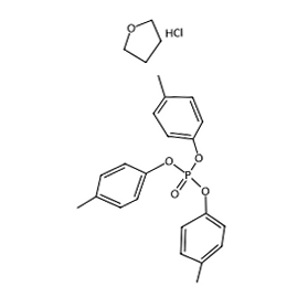 C1CCOC1.Cc1ccc(OP(=O)(Oc2ccc(C)cc2)Oc2ccc(C)cc2)cc1.Cl